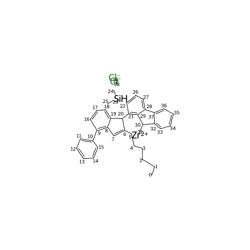 CCCCCCC1=Cc2c(-c3ccccc3)cccc2C1c1c([SiH](C)C)ccc2c1[CH]([Zr+2])c1ccccc1-2.[Cl-].[Cl-]